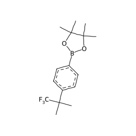 CC1(C)OB(c2ccc(C(C)(C)C(F)(F)F)cc2)OC1(C)C